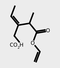 C=COC(=O)C(C)C(=CC)CC(=O)O